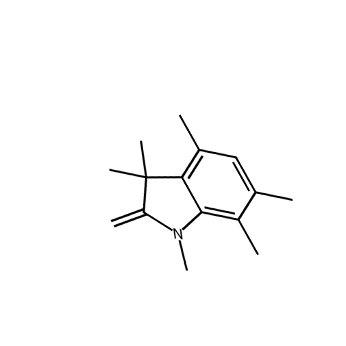 C=C1N(C)c2c(C)c(C)cc(C)c2C1(C)C